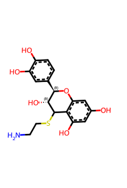 NCCSC1c2c(O)cc(O)cc2O[C@H](c2ccc(O)c(O)c2)[C@H]1O